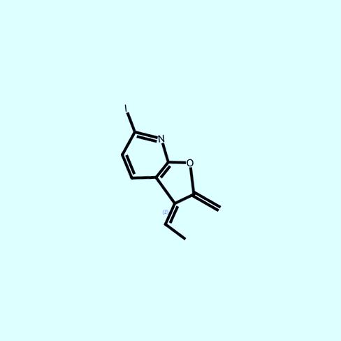 C=c1oc2nc(I)ccc2/c1=C/C